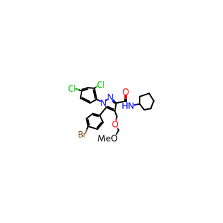 COCOCc1c(C(=O)NC2CCCCC2)nn(-c2ccc(Cl)cc2Cl)c1-c1ccc(Br)cc1